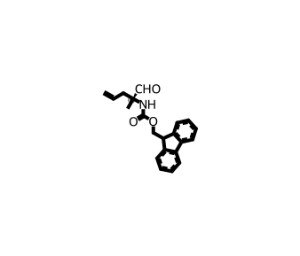 C=CC[C@](C)(C=O)NC(=O)OCC1c2ccccc2-c2ccccc21